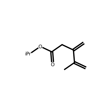 C=C(C)C(=C)CC(=O)OC(C)C